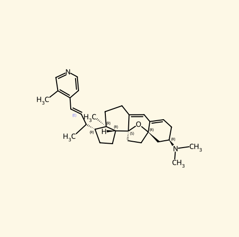 Cc1cnccc1/C=C/C(C)[C@H]1CC[C@@H]2[C@]1(C)CCC1=CC3=CC[C@@H](N(C)C)C[C@]34CC[C@@]12O4